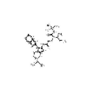 CCC(C)N(CCC(=O)Nc1sc2c(c1-c1nc3ccccc3s1)CCN(C(C)C)C2)C(=O)OC(C)(C)C